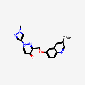 COc1cnc2ccc(OCc3nn(-c4cnn(C)c4)ccc3=O)cc2c1